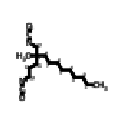 CCCCCCCCCC(C)(CCCN=C=O)CN=C=O